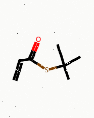 C=CC(=O)SC(C)(C)C